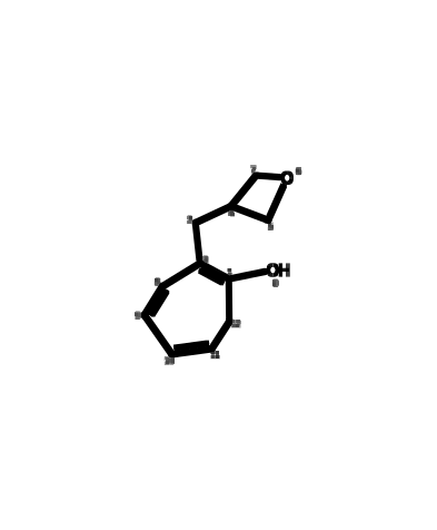 OC1=C(CC2COC2)C=CC=CC1